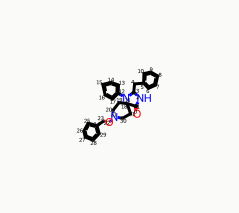 O=C1NC(Cc2ccccc2)N(c2ccccc2)C12CCN(OCc1ccccc1)CC2